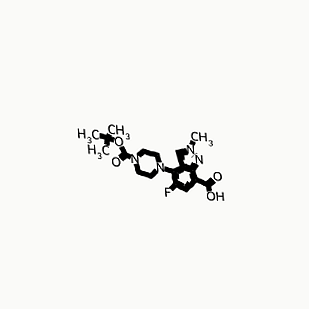 Cn1cc2c(N3CCN(C(=O)OC(C)(C)C)CC3)c(F)cc(C(=O)O)c2n1